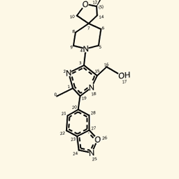 Cc1nc(N2CCC3(CC2)CO[C@@H](C)C3)c(CO)nc1-c1ccc2cnoc2c1